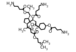 CC[C@H](C[C@@H]1CC[C@H]([C@H](C)CCC(=O)OCCN(C)C)[C@@]1(C)[C@H](C[C@@H](C)[C@]1(C)CC[C@H](OC(=O)CCCN)CC1)OC(=O)CCCN)OC(=O)CCCN